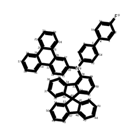 Fc1ccc(-c2ccc(N(c3ccc4c5ccccc5c5ccccc5c4c3)c3cccc4c3-c3ccccc3C43c4ccccc4-c4ccccc43)cc2)cc1